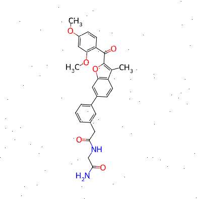 COc1ccc(C(=O)c2oc3cc(-c4cccc(CC(=O)NCC(N)=O)c4)ccc3c2C)c(OC)c1